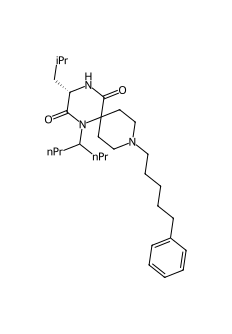 CCCC(CCC)N1C(=O)[C@H](CC(C)C)NC(=O)C12CCN(CCCCCc1ccccc1)CC2